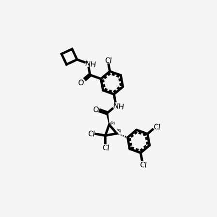 O=C(NC1CCC1)c1cc(NC(=O)[C@H]2[C@H](c3cc(Cl)cc(Cl)c3)C2(Cl)Cl)ccc1Cl